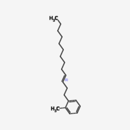 CCCCCCCCC/C=C/CCc1ccccc1C